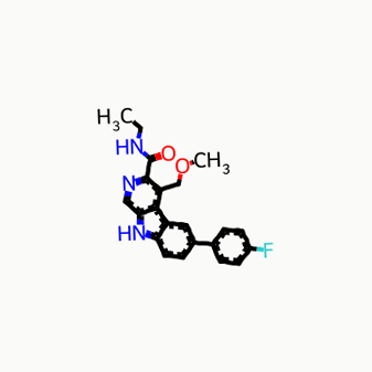 CCNC(=O)c1ncc2[nH]c3ccc(-c4ccc(F)cc4)cc3c2c1COC